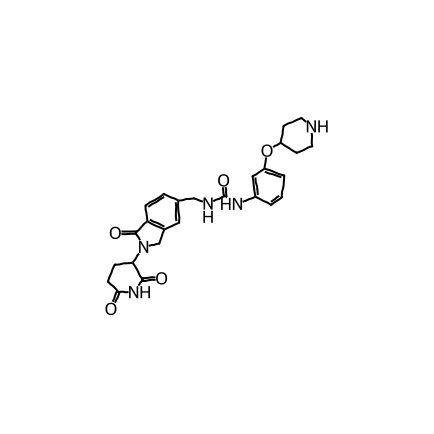 O=C1CCC(N2Cc3cc(CNC(=O)Nc4cccc(OC5CCNCC5)c4)ccc3C2=O)C(=O)N1